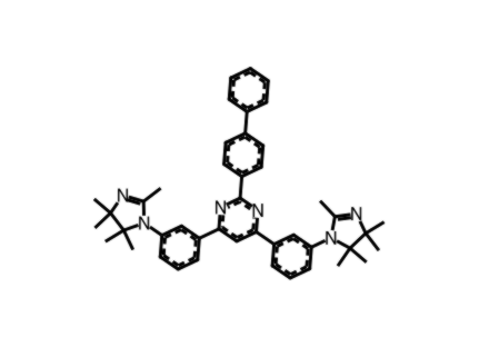 CC1=NC(C)(C)C(C)(C)N1c1cccc(-c2cc(-c3cccc(N4C(C)=NC(C)(C)C4(C)C)c3)nc(-c3ccc(-c4ccccc4)cc3)n2)c1